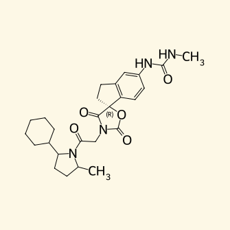 CNC(=O)Nc1ccc2c(c1)CC[C@@]21OC(=O)N(CC(=O)N2C(C)CCC2C2CCCCC2)C1=O